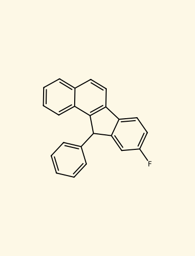 Fc1ccc2c(c1)C(c1ccccc1)c1c-2ccc2ccccc12